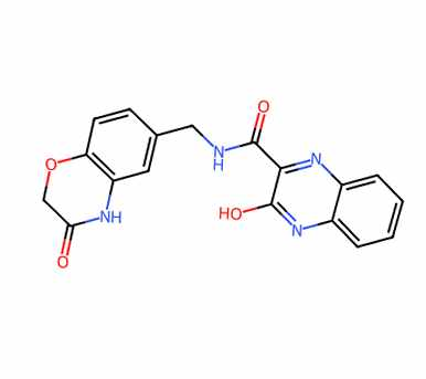 O=C1COc2ccc(CNC(=O)c3nc4ccccc4nc3O)cc2N1